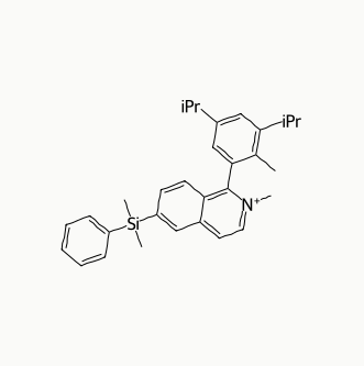 Cc1c(-c2c3ccc([Si](C)(C)c4ccccc4)cc3cc[n+]2C)cc(C(C)C)cc1C(C)C